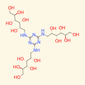 OC[C@@H](O)[C@@H](O)[C@H](O)[C@@H](O)CNc1nc(NC[C@H](O)[C@@H](O)[C@H](O)[C@H](O)CO)nc(NC[C@H](O)[C@@H](O)[C@H](O)[C@H](O)CO)n1